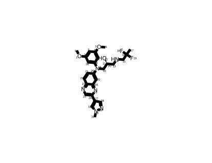 COc1cc(OC)cc(N(C[C@H](O)CNCC(C)(F)F)c2ccc3ncc(-c4cnn(C)c4)nc3c2)c1